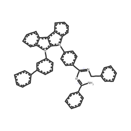 N/C(=N\C(=N/Cc1ccccc1)c1ccc(-n2c3ccccc3c3c4ccccc4n(-c4cccc(-c5ccccc5)c4)c32)cc1)c1ccccc1